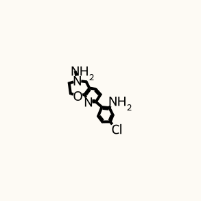 Nc1cc(Cl)ccc1-c1ccc2c(n1)OCCN(N)C2